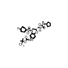 CN(C1CCCC1)S(=O)(=O)NC[C@H]1CN(S(=O)(=O)c2ccc(F)cc2)c2cc(NC(=O)OC(C)(C)C(F)(F)F)ccc2O1